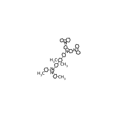 Cc1cccc(-c2cc(-c3ccc(-c4c(C)cc(-c5ccc(-n6c7ccc(-n8c9ccccc9c9ccccc98)cc7c7cc(-n8c9ccccc9c9ccccc98)ccc76)cc5)cc4C)cc3)nc(-c3cccc(C)c3)n2)c1